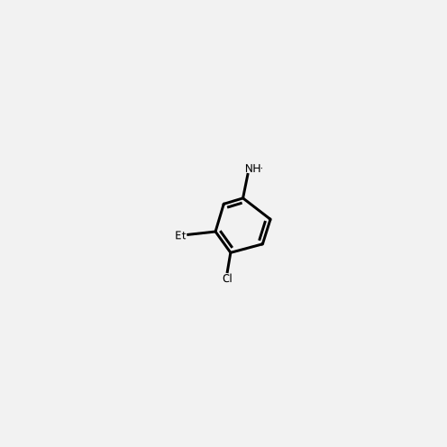 CCc1cc([NH])ccc1Cl